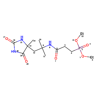 CCOP(=O)(CCC(=O)NC(C)(C)CC1(C)NC(=O)NC1=O)OCC